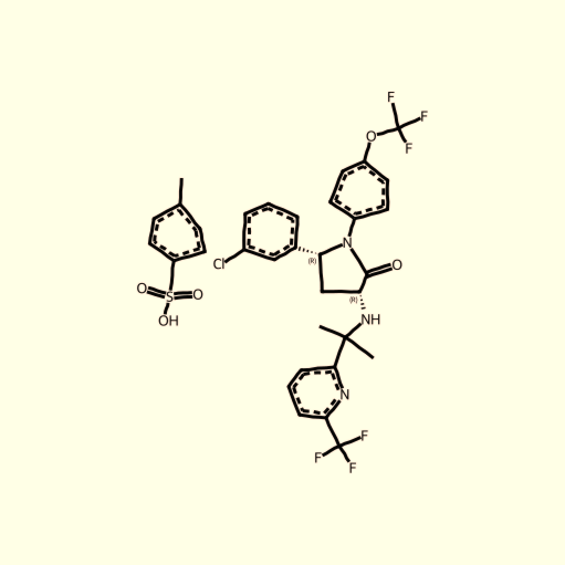 CC(C)(N[C@@H]1C[C@H](c2cccc(Cl)c2)N(c2ccc(OC(F)(F)F)cc2)C1=O)c1cccc(C(F)(F)F)n1.Cc1ccc(S(=O)(=O)O)cc1